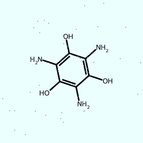 Nc1c(O)c(N)c(O)c(N)c1O